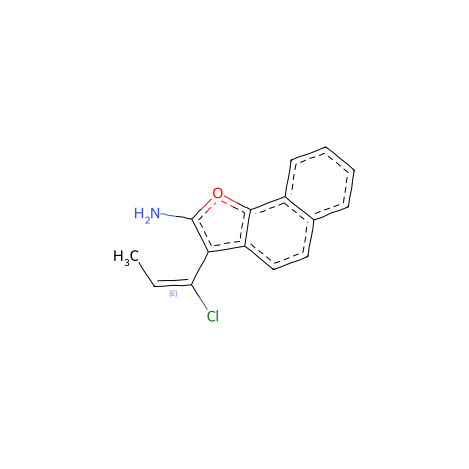 C/C=C(/Cl)c1c(N)oc2c1ccc1ccccc12